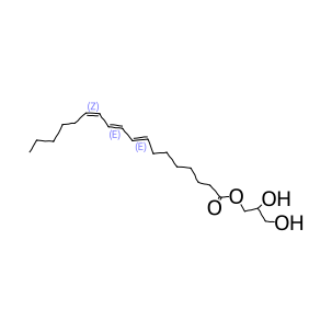 CCCCC\C=C/C=C/C=C/CCCCCCC(=O)OCC(O)CO